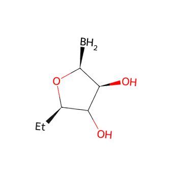 B[C@@H]1O[C@H](CC)C(O)[C@@H]1O